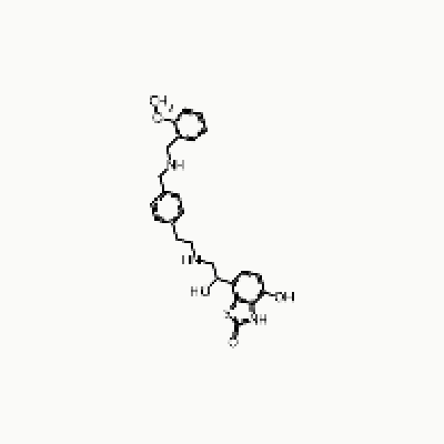 COc1ccccc1CNCc1ccc(CCNCC(O)c2ccc(O)c3[nH]c(=O)sc23)cc1